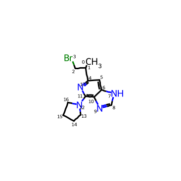 CC(CBr)c1cc2[nH]cnc2c(N2CCCC2)n1